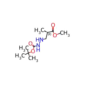 COC(=O)[C@H](C)CNNC(=O)OC(C)(C)C